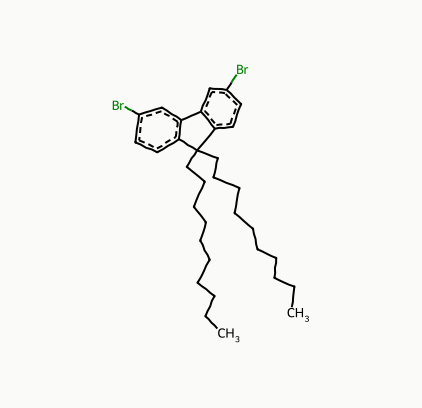 CCCCCCCCCCC1(CCCCCCCCCC)c2ccc(Br)cc2-c2cc(Br)ccc21